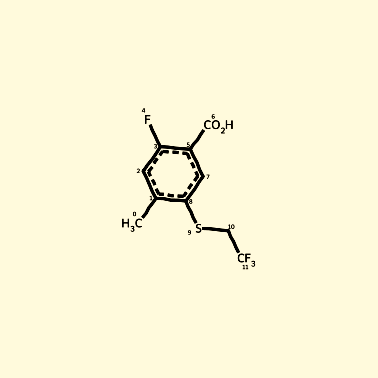 Cc1cc(F)c(C(=O)O)cc1SCC(F)(F)F